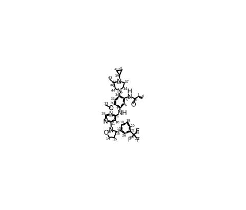 C=CC(=O)Nc1cc(Nc2cc(N3OCC[C@@H]3c3cccc(C(F)(F)F)c3)ncn2)c(OC)cc1N1CCN(C2CC2)[C@H](C)C1